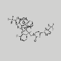 COc1cccc(CC(Cn2ccc(-c3noc(C(F)(F)F)n3)cc2=O)(c2cccc(F)c2F)n2ccc(-c3noc(C(F)(F)F)n3)cc2=O)c1OC